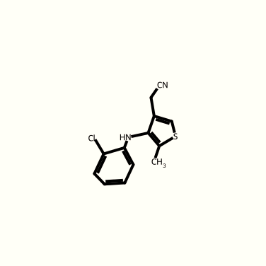 Cc1scc(CC#N)c1Nc1ccccc1Cl